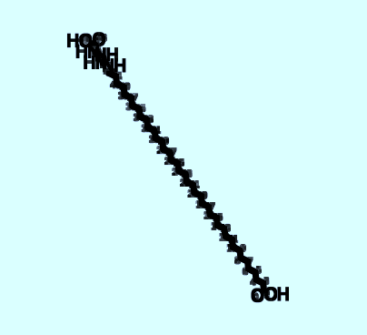 O=C(O)CCCCCCCCCCCCCCCCCCCCCCCCCCCCCCCCCCCCCCCCNNNNC(=O)O